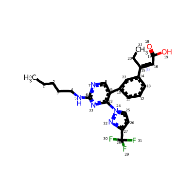 CCCCCNc1ncc(-c2cccc(/C(=C/C(=O)O)CC)c2)c(-n2ccc(C(F)(F)F)n2)n1